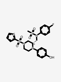 CS(=O)(=O)N(C[C@H]1CN(S(=O)(=O)c2cccs2)CCN1c1ccc(O)cc1)c1ccc(F)cc1